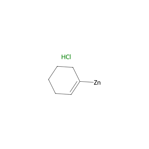 Cl.[Zn][C]1=CCCCC1